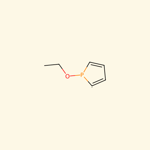 CCOp1[c]ccc1